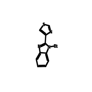 CCn1c(-c2cscn2)nc2ccccc21